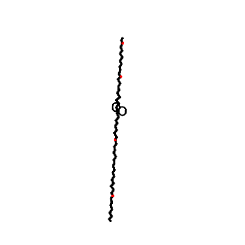 CCCCCCCCCCCCCCCCCCCCCCCCCCCCCCCCCCC(=O)OCCCCCCCCCCCCCCCCCCCCC